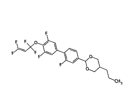 CCCC1COC(c2ccc(-c3cc(F)c(OC(F)(F)C=C(F)F)c(F)c3)c(F)c2)OC1